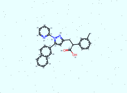 Cc1cccc(C(Cc2cc(-c3ccc4ccccc4c3)n(-c3ccccn3)n2)C(=O)O)c1